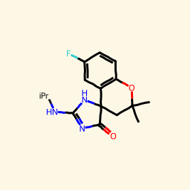 CC(C)NC1=NC(=O)C2(CC(C)(C)Oc3ccc(F)cc32)N1